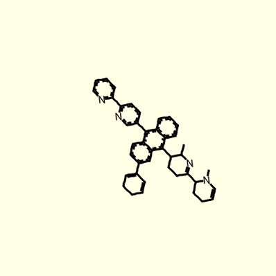 CC1N=C(C2CCC=CN2C)CCC1c1c2ccccc2c(-c2ccc(-c3ccccn3)nc2)c2ccc(C3=CCCC=C3)cc12